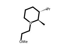 COCCN1CCC[C@H](C(C)C)[C@H]1C